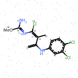 C=C(Nc1ccc(Cl)c(Cl)c1)/C(C)=C(Cl)\N=C(/N)OC